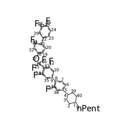 CCCCCC1CCC(c2ccc(-c3cc(F)c(C(F)(F)Oc4ccc(-c5ccc(F)c(F)c5)c(F)c4)c(F)c3)c(F)c2)CC1